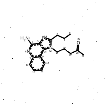 CCCc1nc2c(N)nc3ccccc3c2n1CCCC(C)=O